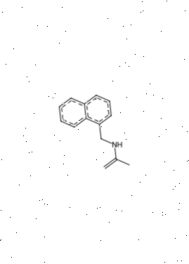 C=C(C)NCc1cccc2ccccc12